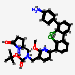 COc1nc(-c2cccc(-c3cccc(-c4ccc(N)cc4)c3Cl)c2Cl)ccc1CN(C[C@@H]1CCC(=O)N1)C(=O)OC(C)(C)C